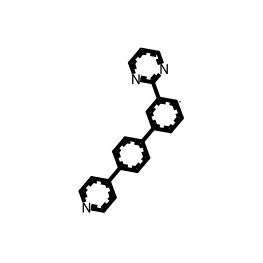 [c]1ccc(-c2ccc(-c3ccncc3)cc2)cc1-c1ncccn1